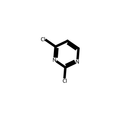 Clc1[c]cnc(Cl)n1